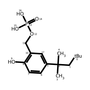 CC(C)(C)CC(C)(C)c1ccc(O)c(COP(=O)(O)O)c1